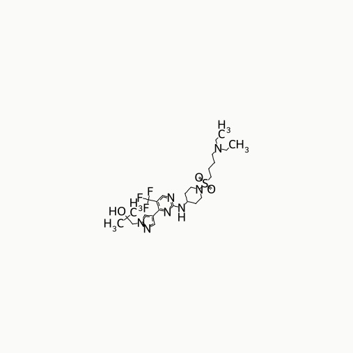 CCN(CC)CCCCS(=O)(=O)N1CCC(Nc2ncc(C(F)(F)F)c(-c3cnn(CC(C)(C)O)c3)n2)CC1